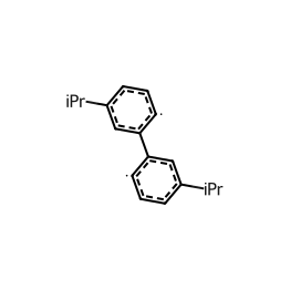 CC(C)c1cc[c]c(-c2[c]ccc(C(C)C)c2)c1